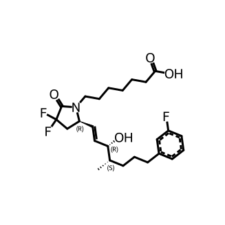 C[C@@H](CCCc1cccc(F)c1)[C@@H](O)C=C[C@H]1CC(F)(F)C(=O)N1CCCCCCC(=O)O